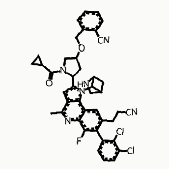 Cc1nc2c(F)c(-c3cccc(Cl)c3Cl)c(CCC#N)cc2c2c1cc(C1CC(OCc3ccccc3C#N)CN1C(=O)C1CC1)n2C1C2CNC1C2